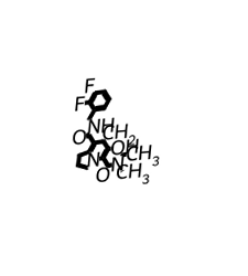 C=C1C(O)=C(C(=O)N(C)CC)N2CCCC2=C1C(=O)NCc1cccc(F)c1F